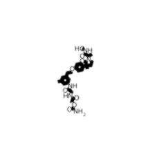 Cc1cc(CCOc2ccc(C3(C)CCN(C(C)C(=O)NO)C3=O)cc2)cc(NC(=O)CNC(=O)COC(N)=O)c1